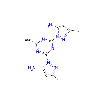 Cc1cc(N)n(-c2n[c]([Mo])nc(-n3nc(C)cc3N)n2)n1